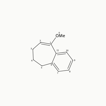 COC1=[C]CCCc2ccccc21